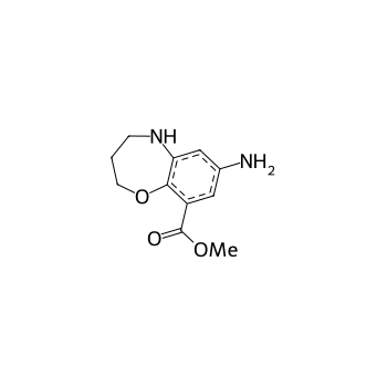 COC(=O)c1cc(N)cc2c1OCCCN2